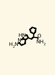 NC(=O)/C(=C/c1c[nH]c2nc(N)ccc12)c1ccccc1